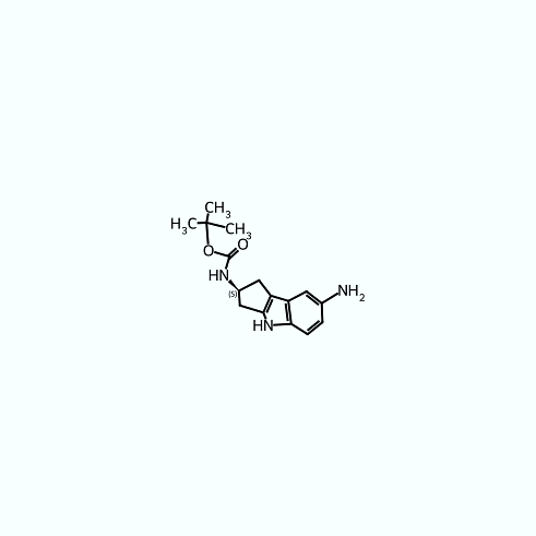 CC(C)(C)OC(=O)N[C@@H]1Cc2[nH]c3ccc(N)cc3c2C1